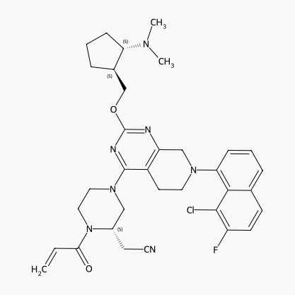 C=CC(=O)N1CCN(c2nc(OC[C@H]3CCC[C@@H]3N(C)C)nc3c2CCN(c2cccc4ccc(F)c(Cl)c24)C3)C[C@@H]1CC#N